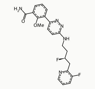 COc1c(C(N)=O)cccc1-c1ccc(NCC[C@H](F)Cc2ncccc2F)nn1